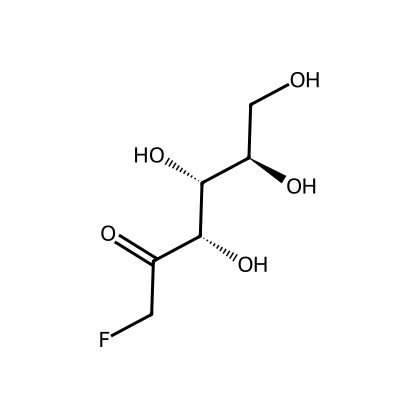 O=C(CF)[C@@H](O)[C@H](O)[C@H](O)CO